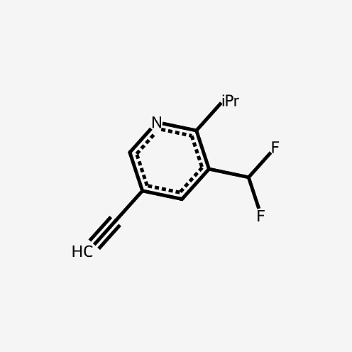 C#Cc1cnc(C(C)C)c(C(F)F)c1